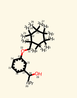 [2H]C1([2H])C([2H])([2H])C([2H])([2H])C([2H])(COc2cccc(C(O)CCC)c2)C([2H])([2H])C1([2H])[2H]